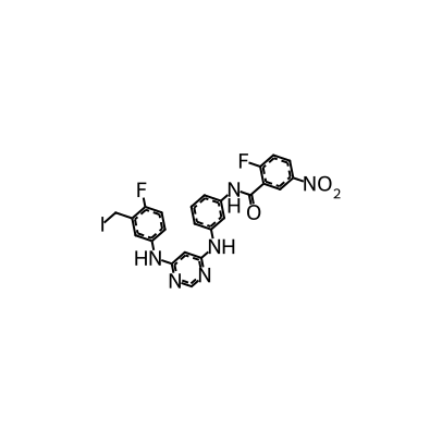 O=C(Nc1cccc(Nc2cc(Nc3ccc(F)c(CI)c3)ncn2)c1)c1cc([N+](=O)[O-])ccc1F